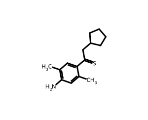 Cc1cc(C(=S)CC2CCCC2)c(C)cc1N